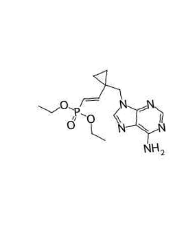 CCOP(=O)(/C=C/C1(Cn2cnc3c(N)ncnc32)CC1)OCC